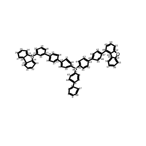 c1ccc(-c2ccc(N(c3ccc(-c4ccc(-c5cccc(-n6c7ccccc7c7ccccc76)c5)cc4)cc3)c3ccc(-c4ccc(-c5cccc6oc7ccccc7c56)cc4)cc3)cc2)cc1